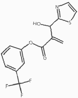 C=C(C(=O)Oc1cccc(C(F)(F)F)c1)C(O)c1nccs1